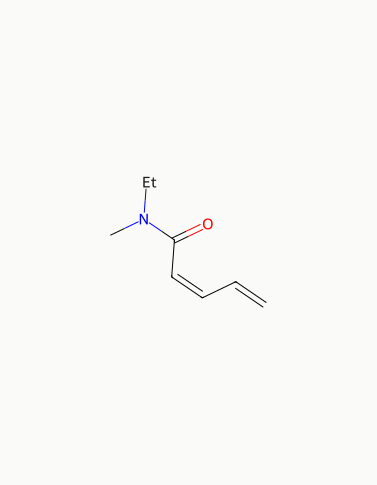 C=C/C=C\C(=O)N(C)CC